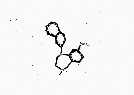 CC(=O)Nc1ccc2c(c1)N(c1ccc3ccccc3c1)CCN(C)C2